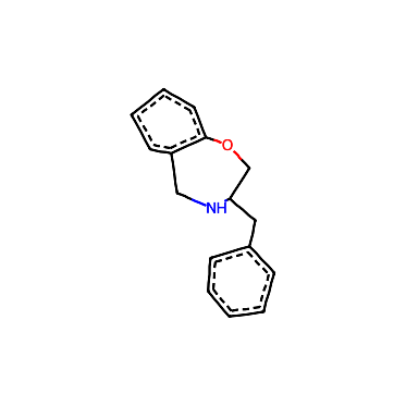 c1ccc(CC2COc3ccccc3CN2)cc1